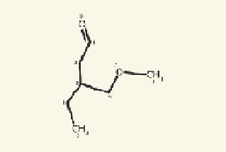 CCC(CC=O)COC